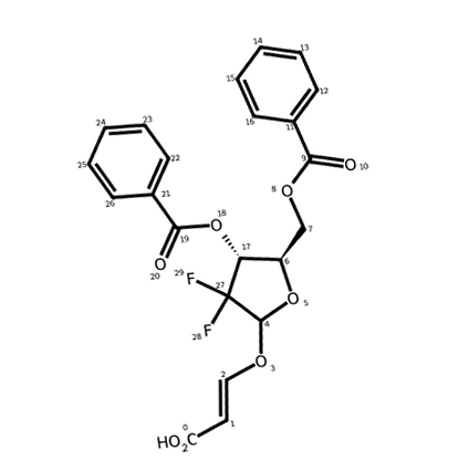 O=C(O)C=COC1O[C@H](COC(=O)c2ccccc2)[C@@H](OC(=O)c2ccccc2)C1(F)F